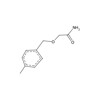 Cc1ccc(COCC(N)=O)cc1